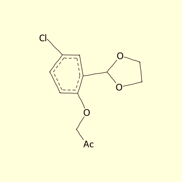 CC(=O)COc1ccc(Cl)cc1C1OCCO1